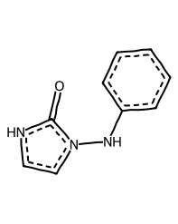 O=c1[nH]ccn1Nc1ccccc1